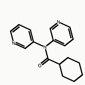 O=C(C1CCCCC1)N(c1cccnc1)c1cccnc1